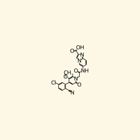 COc1cn(CC(=O)Nc2ccc3nc(C(=O)O)cn3c2)c(=O)cc1-c1cc(Cl)ccc1C#N